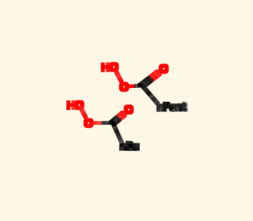 CCCCC(=O)OO.CCCCCC(=O)OO